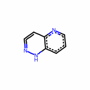 C1=Cc2ncccc2NN=1